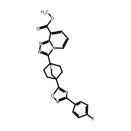 COC(=O)c1cccn2c(C34CCC(c5nc(-c6ccc(F)cc6)no5)(CC3)CC4)nnc12